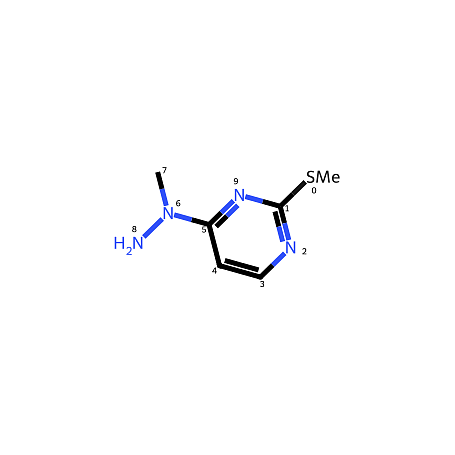 CSc1nccc(N(C)N)n1